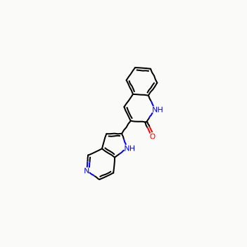 O=c1[nH]c2ccccc2cc1-c1cc2cnccc2[nH]1